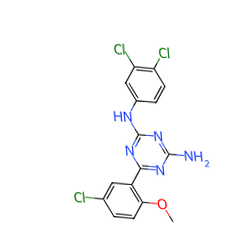 COc1ccc(Cl)cc1-c1nc(N)nc(Nc2ccc(Cl)c(Cl)c2)n1